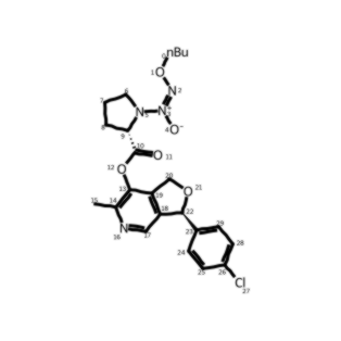 CCCCO/N=[N+](/[O-])N1CCC[C@H]1C(=O)Oc1c(C)ncc2c1CO[C@H]2c1ccc(Cl)cc1